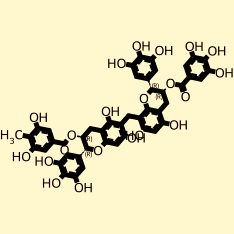 Cc1c(O)cc(C(=O)O[C@@H]2Cc3c(cc(O)c(Cc4c(O)cc(O)c5c4O[C@H](c4cc(O)c(O)c(O)c4)[C@H](OC(=O)c4cc(O)c(O)c(O)c4)C5)c3O)O[C@@H]2c2cc(O)c(O)c(O)c2)cc1O